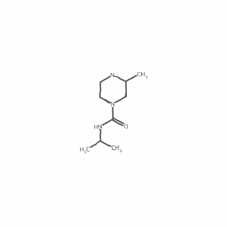 CC1CN(C(=O)NC(C)C)CC[N]1